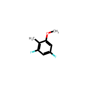 COc1cc(F)cc(F)c1C